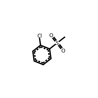 CS(=O)(=O)c1ccccc1Cl